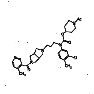 CC(=O)N1CCC(OC(=O)N(CCCN2CC3CN(C(=O)c4cnccc4C)CC3C2)c2ccc(C)c(Cl)c2)CC1